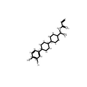 C=CC(=O)OC(CC)C1CCC(C2CCC(c3ccc(F)c(F)c3)CC2)CC1